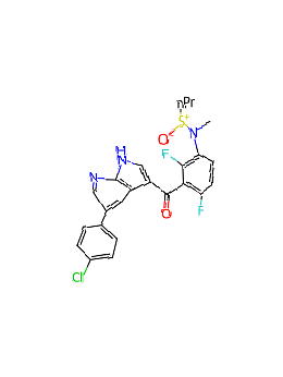 CCC[S+]([O-])N(C)c1ccc(F)c(C(=O)c2c[nH]c3ncc(-c4ccc(Cl)cc4)cc23)c1F